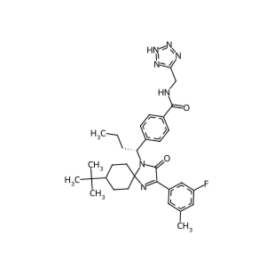 CCC[C@H](c1ccc(C(=O)NCc2nn[nH]n2)cc1)N1C(=O)C(c2cc(C)cc(F)c2)=NC12CCC(C(C)(C)C)CC2